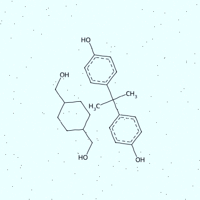 CC(C)(c1ccc(O)cc1)c1ccc(O)cc1.OCC1CCC(CO)CC1